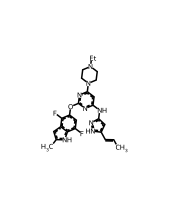 C/C=C/c1cc(Nc2cc(N3CCN(CC)CC3)nc(Oc3cc(F)c4[nH]c(C)cc4c3F)n2)n[nH]1